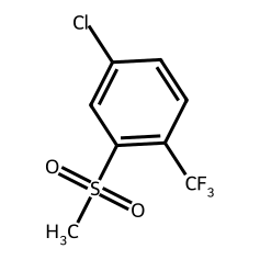 CS(=O)(=O)c1cc(Cl)ccc1C(F)(F)F